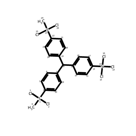 CS(Cl)(Cl)c1ccc(C(c2ccc([Si](Cl)(Cl)Cl)cc2)c2ccc(S(C)(Cl)Cl)cc2)cc1